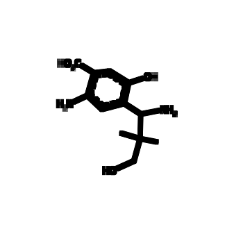 CC(C)(CO)C(N)c1cc(N)c(C(=O)O)cc1O